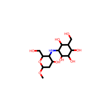 COC1CC(O)C(NC2C(O)C(O)C(O)C(CO)C2O)C(CO)O1